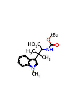 Cn1cc(C(C)(C)C(NC(=O)OC(C)(C)C)C(=O)O)c2ccccc21